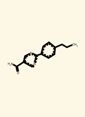 CCCc1ccc(-c2ncc(C(N)=O)cn2)cc1